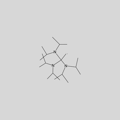 [CH2]C(N(C(C)C)C(C)C)(N(C(C)C)C(C)C)N(C(C)C)C(C)C